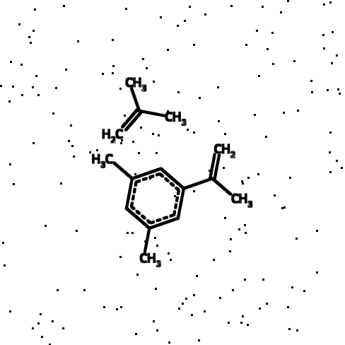 C=C(C)C.C=C(C)c1cc(C)cc(C)c1